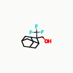 OCC1(C(F)(F)F)C2CC3CC(C2)CC1C3